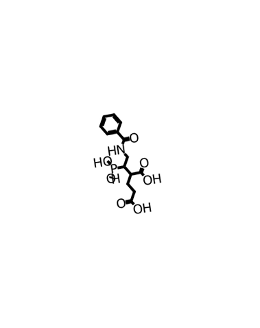 O=C(O)CCC(C(=O)O)C(CNC(=O)c1ccccc1)[PH](=O)O